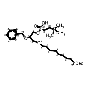 CCCCCCCCCCCCCCCCCCOCC(COP(=O)(O)CC[N+](C)(C)C)OCc1ccccc1